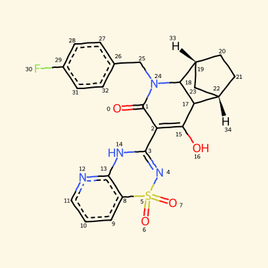 O=C1C(C2=NS(=O)(=O)c3cccnc3N2)=C(O)C2C([C@@H]3CC[C@H]2C3)N1Cc1ccc(F)cc1